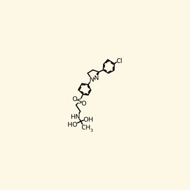 CC(O)(O)NCCS(=O)(=O)c1ccc(N2CCC(c3ccc(Cl)cc3)=N2)cc1